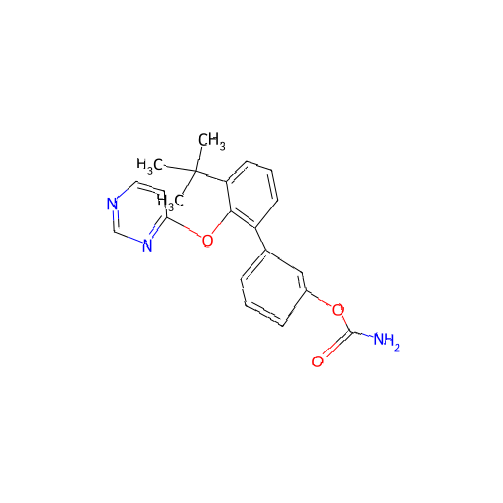 CC(C)(C)c1cccc(-c2cccc(OC(N)=O)c2)c1Oc1ccncn1